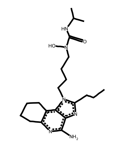 CCCc1nc2c(N)nc3c(c2n1CCCCN(O)C(=O)NC(C)C)CCCC3